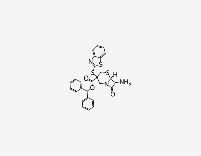 NC1C(=O)N2CC(Sc3nc4ccccc4s3)(C(=O)OC(c3ccccc3)c3ccccc3)CS[C@H]12